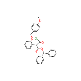 COc1ccc(COc2ccccc2C(C(=O)Cl)C(=O)OC(c2ccccc2)c2ccccc2)cc1